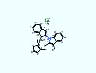 CC1=[C]([Hf+2][CH]2C(n3c(C)c(C)c4ccccc43)=Cc3ccccc32)CC=C1.[Cl-].[Cl-]